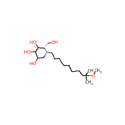 COC(C)(C)CCCCCCCCN1CC(O)C(O)C(O)[C@@H]1CO